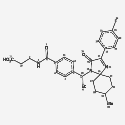 CC[C@H](c1ccc(C(=O)NCCC(=O)O)cc1)N1C(=O)C(c2ccc(F)cc2)=NC12CCC(C(C)(C)C)CC2